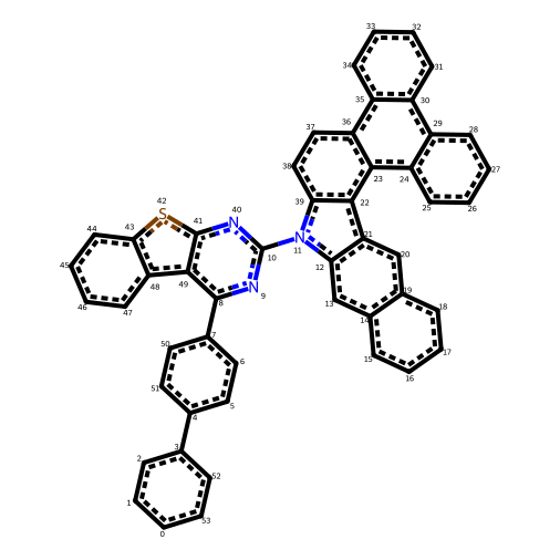 c1ccc(-c2ccc(-c3nc(-n4c5cc6ccccc6cc5c5c6c7ccccc7c7ccccc7c6ccc54)nc4sc5ccccc5c34)cc2)cc1